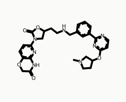 CN1CCC(Oc2ccnc(-c3cccc(CNCCC4CN(c5ccc6c(n5)NC(=O)CO6)C(=O)O4)c3)n2)C1